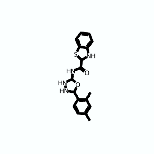 Cc1ccc(C2NNC(NC(=O)C3Nc4ccccc4S3)O2)c(C)c1